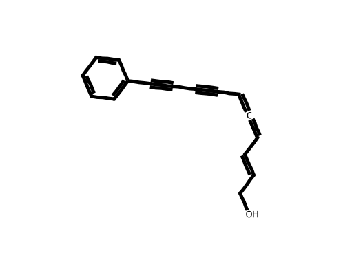 OCC=CC=C=CC#CC#Cc1ccccc1